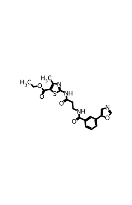 CCOC(=O)c1sc(NC(=O)CCNC(=O)c2cccc(-c3cnco3)c2)nc1C